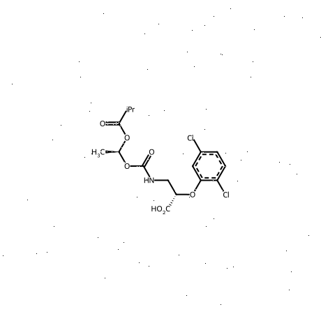 CC(C)C(=O)O[C@H](C)OC(=O)NC[C@H](Oc1cc(Cl)ccc1Cl)C(=O)O